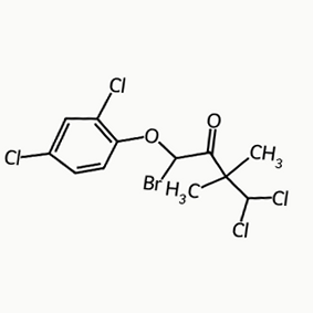 CC(C)(C(=O)C(Br)Oc1ccc(Cl)cc1Cl)C(Cl)Cl